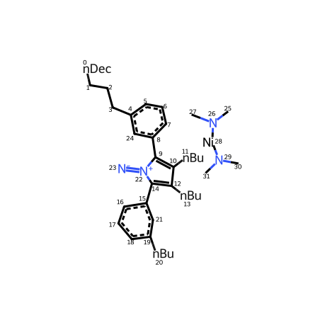 CCCCCCCCCCCCCc1cccc(C2=C(CCCC)C(CCCC)=C(c3cccc(CCCC)c3)[N+]2=[N-])c1.C[N](C)[Ni][N](C)C